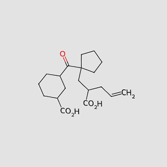 C=CCC(CC1(C(=O)C2CCCC(C(=O)O)C2)CCCC1)C(=O)O